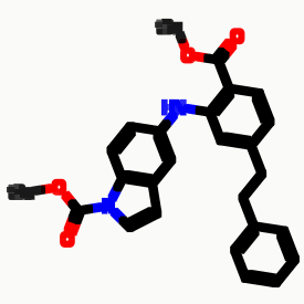 CC(C)(C)OC(=O)c1ccc(CCc2ccccc2)cc1Nc1ccc2c(ccn2C(=O)OC(C)(C)C)c1